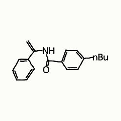 C=C(NC(=O)c1ccc(CCCC)cc1)c1ccccc1